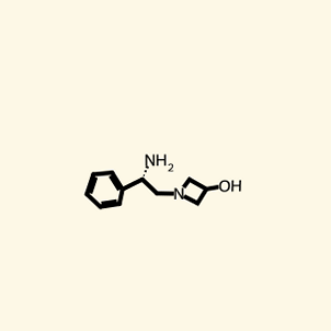 N[C@H](CN1CC(O)C1)c1ccccc1